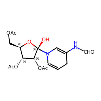 CC(=O)OC[C@H]1O[C@](O)(N2C=CCC(NC=O)=C2)[C@H](OC(C)=O)[C@@H]1OC(C)=O